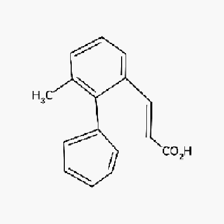 Cc1cccc(/C=C/C(=O)O)c1-c1ccccc1